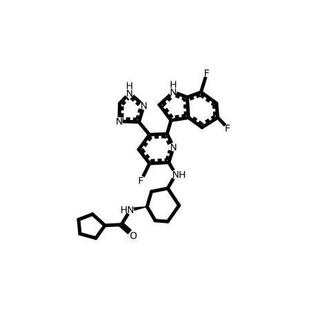 O=C(N[C@@H]1CCCC(Nc2nc(-c3c[nH]c4c(F)cc(F)cc34)c(-c3nc[nH]n3)cc2F)C1)C1CCCC1